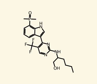 CCCCC(CO)Nc1ncc(C(F)(F)F)c(-c2c[nH]c3c(P(C)(C)=O)cccc23)n1